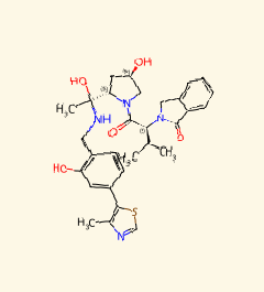 Cc1ncsc1-c1ccc(CNC(C)(O)[C@@H]2C[C@@H](O)CN2C(=O)[C@H](C(C)C)N2Cc3ccccc3C2=O)c(O)c1